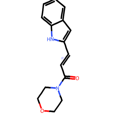 O=C(/C=C/c1cc2ccccc2[nH]1)N1CCOCC1